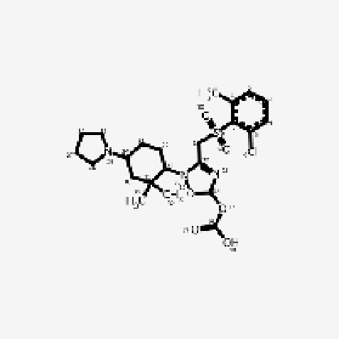 Cc1cccc(Cl)c1S(=O)(=O)CC1=NC(OC(=O)O)ON1C1CCC(N2CCCC2)CC1(C)C